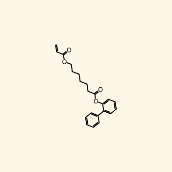 C=CC(=O)OCCCCCCC(=O)Oc1ccccc1-c1ccccc1